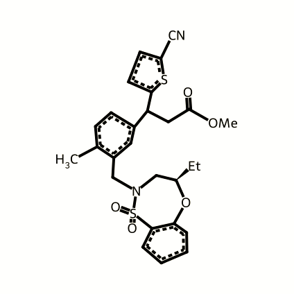 CC[C@@H]1CN(Cc2cc(C(CC(=O)OC)c3ccc(C#N)s3)ccc2C)S(=O)(=O)c2ccccc2O1